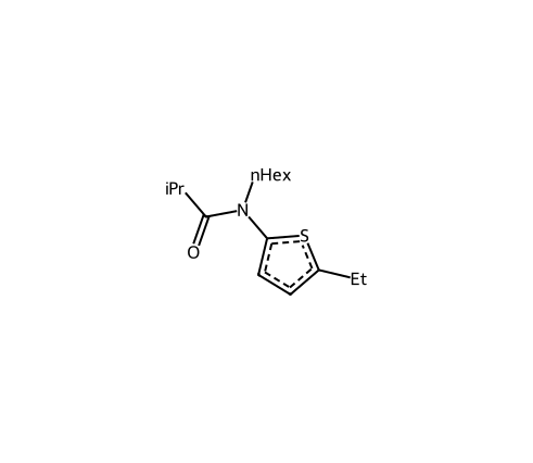 CCCCCCN(C(=O)C(C)C)c1ccc(CC)s1